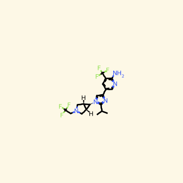 CC(C)c1nc(-c2cnc(N)c(C(F)(F)F)c2)cn1[C@@H]1[C@@H]2CN(CC(F)(F)F)C[C@@H]21